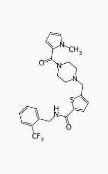 Cn1cccc1C(=O)N1CCN(Cc2ccc(C(=O)NCc3ccccc3C(F)(F)F)s2)CC1